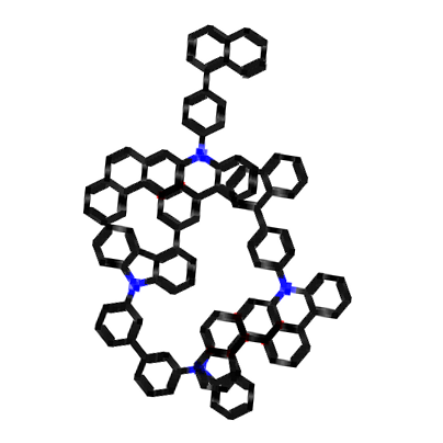 c1ccc2cccc(-c3ccc(N(c4ccc5c(ccc6ccccc65)c4)c4ccccc4-c4cccc(-c5cccc6c5c5ccccc5n6-c5cccc(-c6cccc(-n7c8ccccc8c8c(-c9cccc(-c%10ccccc%10N(c%10ccc(-c%11ccccc%11)cc%10)c%10ccc(-c%11cccc%12ccccc%11%12)cc%10)c9)cccc87)c6)c5)c4)cc3)c2c#1